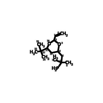 C=CC1OC(CC(C)(C)P)CC(C(C)(C)C)O1